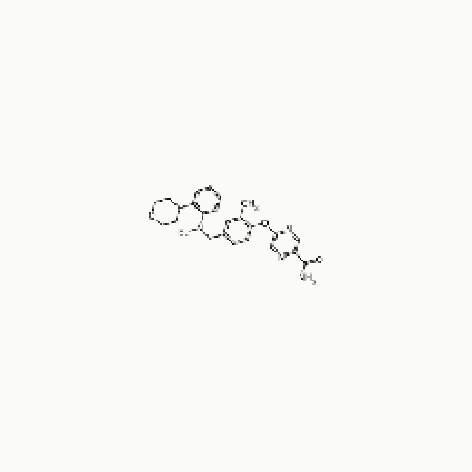 CCN(Cc1ccc(Oc2cnc(C(N)=O)cn2)c(C)c1)c1ccccc1C1CCOCC1